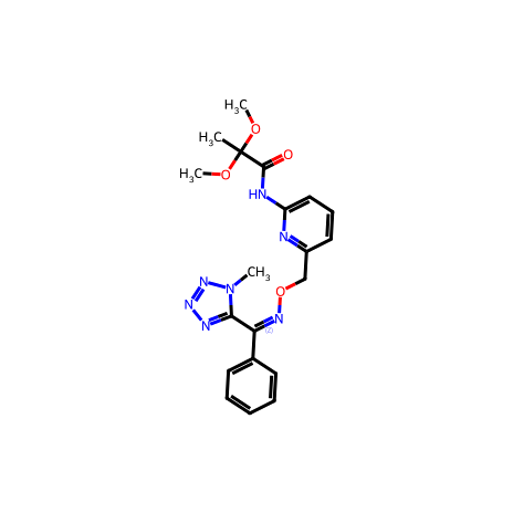 COC(C)(OC)C(=O)Nc1cccc(CO/N=C(/c2ccccc2)c2nnnn2C)n1